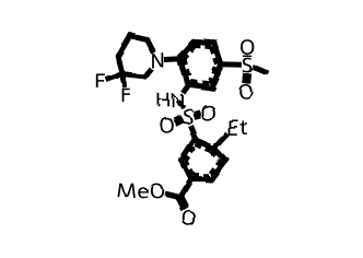 CCc1ccc(C(=O)OC)cc1S(=O)(=O)Nc1cc(S(C)(=O)=O)ccc1N1CCCC(F)(F)C1